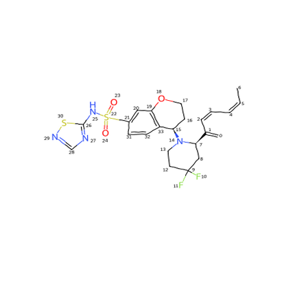 C=C(/C=C\C=C/C)[C@H]1CC(F)(F)CCN1[C@@H]1CCOc2cc(S(=O)(=O)Nc3ncns3)ccc21